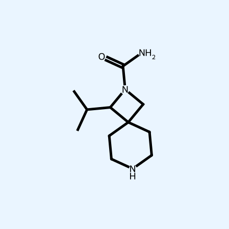 CC(C)C1N(C(N)=O)CC12CCNCC2